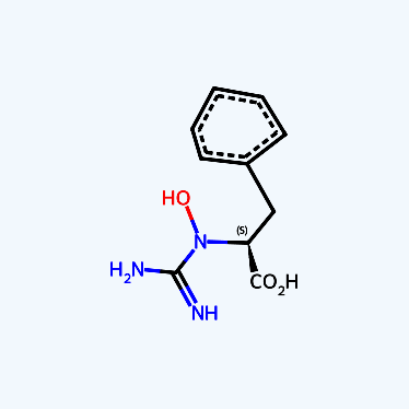 N=C(N)N(O)[C@@H](Cc1ccccc1)C(=O)O